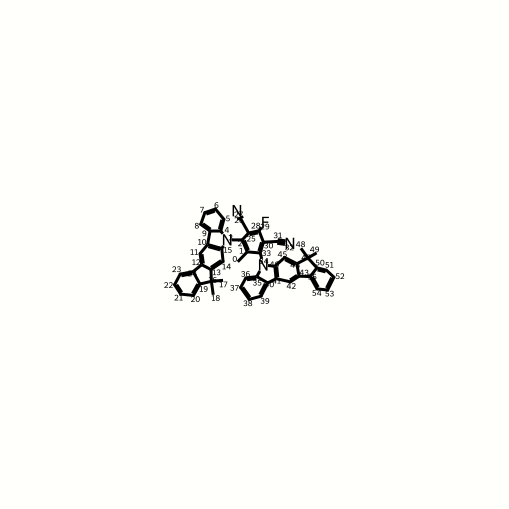 Cc1c(-n2c3ccccc3c3cc4c(cc32)C(C)(C)c2ccccc2-4)c(C#N)c(F)c(C#N)c1-n1c2ccccc2c2cc3c(cc21)C(C)(C)c1ccccc1-3